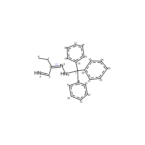 CC/C(C=N)=N/NC(c1ccccc1)(c1ccccc1)c1ccccc1